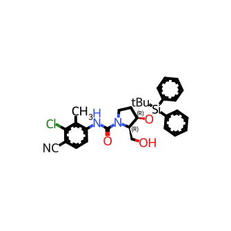 Cc1c(NC(=O)N2CC[C@@H](O[Si](c3ccccc3)(c3ccccc3)C(C)(C)C)[C@H]2CO)ccc(C#N)c1Cl